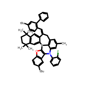 Cc1cc2c3c(c1)N(c1ccccc1F)c1c(oc4ccc(C(C)(C)C)cc14)B3c1cc3c(cc1/C(=C\c1ccc(C(C)(C)C)cc1-c1ccccc1)C2)C(C)(C)CCC3(C)C